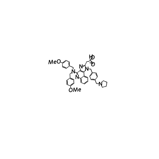 COc1ccc(CN(Cc2ccc(OC)cc2)c2nc3ccccc3c3c2nc(C[SH](=O)=O)n3Cc2ccc(CN3CCCC3)cc2)cc1